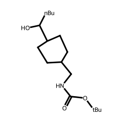 CCCCC(O)C1CCC(CNC(=O)OC(C)(C)C)CC1